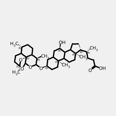 C[C@H]1C(O[C@@H]2CC[C@@]3(C)C(C2)C[C@@H](O)C2C3CC[C@@]3(C)C2CC[C@@H]3[C@H](C)CCC(=O)O)OC2O[C@@]3(C)CCC4[C@H](C)CCC1[C@@]24O3